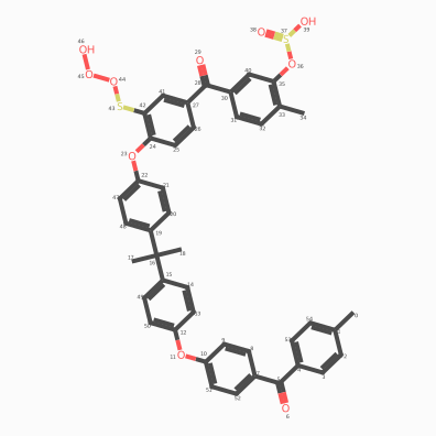 Cc1ccc(C(=O)c2ccc(Oc3ccc(C(C)(C)c4ccc(Oc5ccc(C(=O)c6ccc(C)c(OS(=O)O)c6)cc5SOOO)cc4)cc3)cc2)cc1